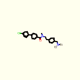 CCN(CC)Cc1ccc(CCN(C)C(=O)c2ccc(-c3ccc(Cl)cc3)cc2)cc1